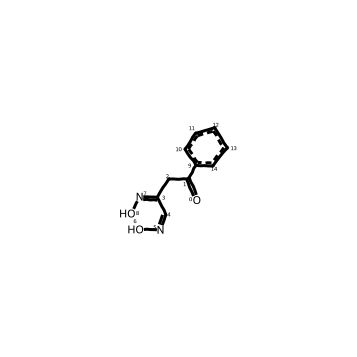 O=C(CC(/C=N\O)=N/O)c1ccccc1